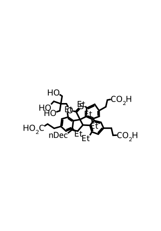 CCCCCCCCCCCCC(c1c(CC)cc(CCC(=O)O)cc1CC)C(C(=S)OCC(CO)(CO)CO)(c1c(CC)cc(CCC(=O)O)cc1CC)c1c(CC)cc(CCC(=O)O)cc1CC